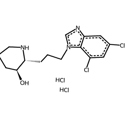 Cl.Cl.O[C@H]1CCCN[C@@H]1CCCn1cnc2cc(Cl)cc(Cl)c21